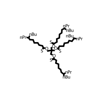 CCCCC(CCC)CCCCCCC(=S)OCC(COC(=S)CCCCCCC(CCC)CCCC)(COC(=S)CCCCCCC(CCC)CCCC)COC(=S)CCCCCCC(CCC)CCCC